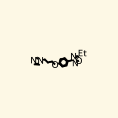 CCc1nc(-c2ccc(OCCCn3ccnc3)cc2)no1